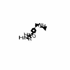 O=C(Nc1cn[nH]c1)c1ccc([C@@H]2C[C@H]2NCC2CC2)cc1